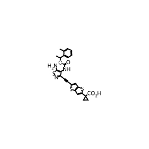 Cc1ccccc1C(C)OC(=O)Nc1c(C#Cc2cc3sc(C4(C(=O)O)CC4)cc3s2)nsc1N